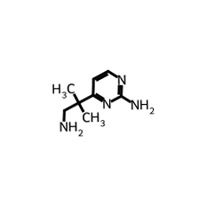 CC(C)(CN)c1ccnc(N)n1